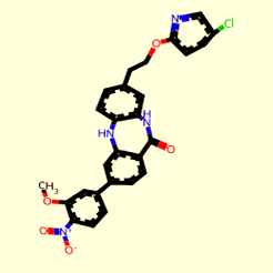 COc1cc(-c2ccc3c(c2)Nc2ccc(CCOc4ccc(Cl)cn4)cc2NC3=O)ccc1[N+](=O)[O-]